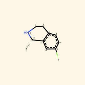 C[C@@H]1NCCc2ccc(F)cc21